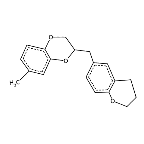 Cc1ccc2c(c1)OC(Cc1ccc3c(c1)CCCO3)CO2